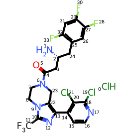 Cl.N[C@@H](CC(=O)N1CCn2c(C(F)(F)F)nc(-c3ccnc(Cl)c3Cl)c2C1)Cc1cc(F)c(F)cc1F